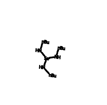 CCCCN[Se](NCCCC)NCCCC